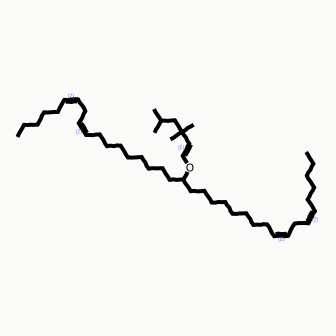 CCCCC/C=C\C/C=C\CCCCCCCCC(CCCCCCCC/C=C\C/C=C\CCCCC)O/C=C/C(C)(C)CC(C)C